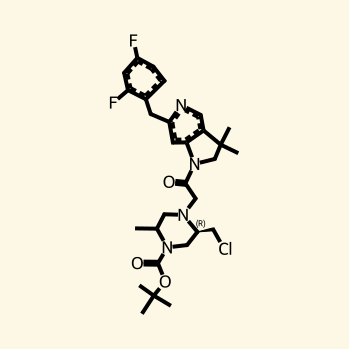 CC1CN(CC(=O)N2CC(C)(C)c3cnc(Cc4ccc(F)cc4F)cc32)[C@@H](CCl)CN1C(=O)OC(C)(C)C